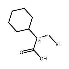 O=C(O)[C@@H](CBr)C1CCCCC1